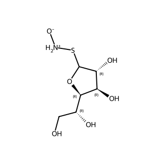 [O-][NH2+]SC1O[C@H]([C@H](O)CO)[C@H](O)[C@H]1O